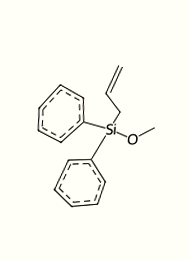 C=CC[Si](OC)(c1ccccc1)c1ccccc1